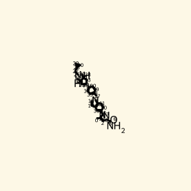 Cc1cc(C(N)=O)nn1-c1ccc2c(ccn2Cc2ccc([C@@H]3C[C@@H]4CN(CC5CC5)C[C@@H]4C3)cc2)c1